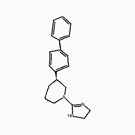 c1ccc(-c2ccc([C@@H]3CCCN(C4=NCCN4)C3)cc2)cc1